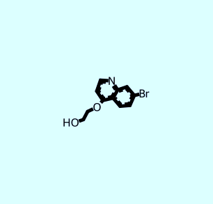 OCCOc1ccnc2cc(Br)ccc12